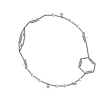 C1=N/CCNCC/N=C/c2ccc(cc2)CNCCNCC/N=C/c2ccc/1cc2